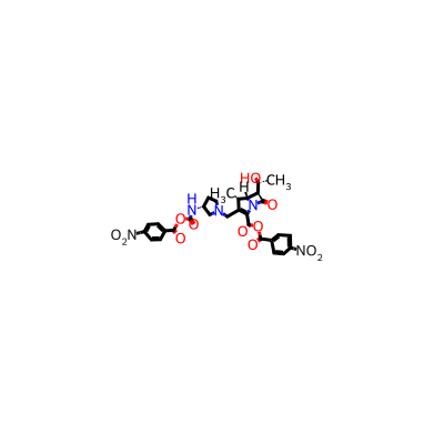 C[C@@H](O)[C@H]1C(=O)N2C(C(=O)OC(=O)c3ccc([N+](=O)[O-])cc3)=C(CN3CC[C@@H](NC(=O)OC(=O)c4ccc([N+](=O)[O-])cc4)C3)[C@H](C)[C@H]12